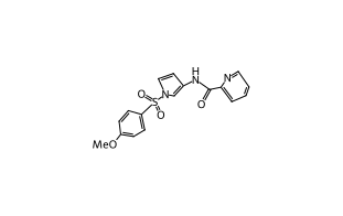 COc1ccc(S(=O)(=O)n2ccc(NC(=O)c3ccccn3)c2)cc1